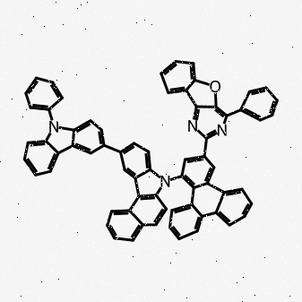 c1ccc(-c2nc(-c3cc(-n4c5ccc(-c6ccc7c(c6)c6ccccc6n7-c6ccccc6)cc5c5c6ccccc6ccc54)c4c5ccccc5c5ccccc5c4c3)nc3c2oc2ccccc23)cc1